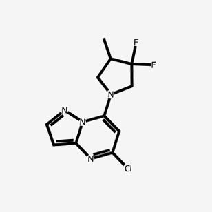 CC1CN(c2cc(Cl)nc3ccnn23)CC1(F)F